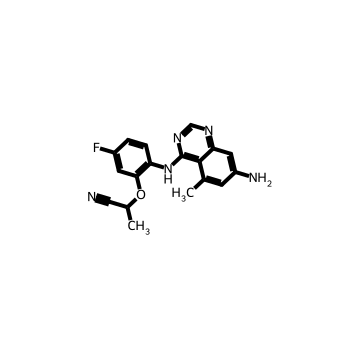 Cc1cc(N)cc2ncnc(Nc3ccc(F)cc3OC(C)C#N)c12